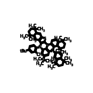 Cc1cc(C(C)(C)C)ccc1N1c2cc([Si](C)(C)C)cc3c2B(c2ccc4c(c2N3c2ccc3c(c2)C(C)(C)CCC3(C)C)C(C)(C)CCC4(C)C)c2sc3cc4c(cc3c21)C(C)(C)CCC4(C)C